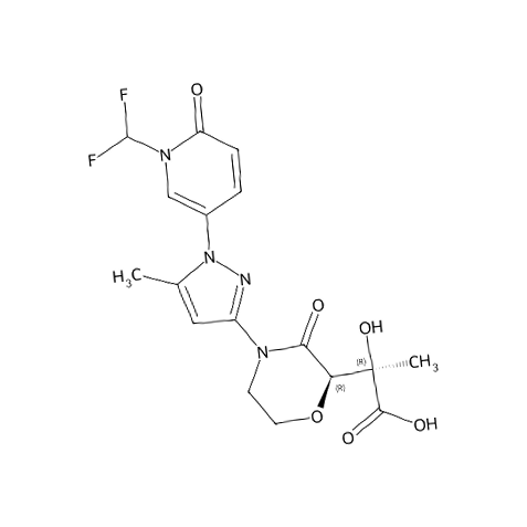 Cc1cc(N2CCO[C@H]([C@@](C)(O)C(=O)O)C2=O)nn1-c1ccc(=O)n(C(F)F)c1